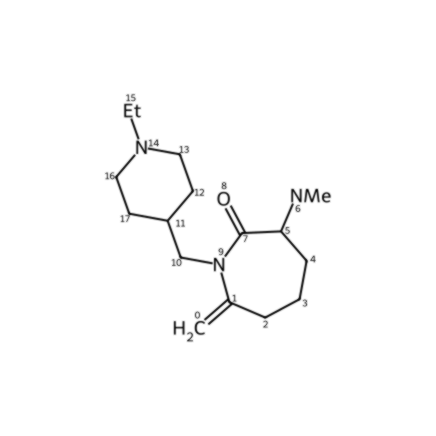 C=C1CCCC(NC)C(=O)N1CC1CCN(CC)CC1